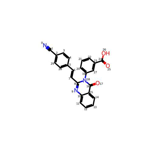 N#Cc1ccc(/C=C/c2nc3ccccc3c(=O)n2-c2cccc(C(=O)O)c2)cc1